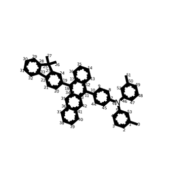 Cc1cccc(N(c2ccc(-c3c4ccccc4c(-c4ccc5c(c4)C(C)(C)c4ccccc4-5)c4cc5ccccc5cc34)cc2)c2cccc(C)c2)c1